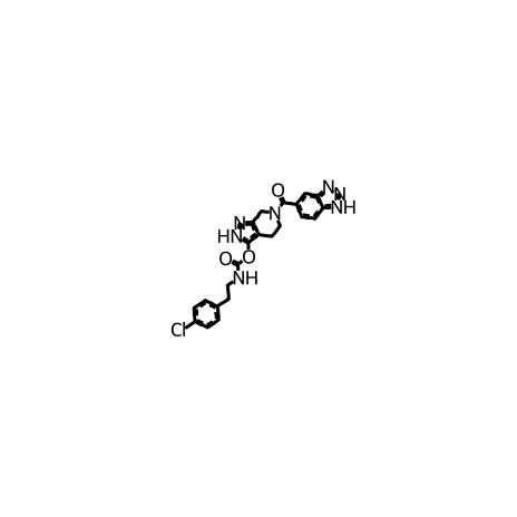 O=C(NCCc1ccc(Cl)cc1)Oc1[nH]nc2c1CCN(C(=O)c1ccc3[nH]nnc3c1)C2